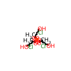 C/C(=C\CC(Cl)CO)C(=O)OP(=O)(OC(=O)/C(C)=C/CC(Cl)CO)OC(=O)/C(C)=C/CC(Cl)CO